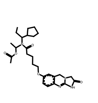 CCC(C1CCCC1)N(C(=O)CCCCOc1ccc2c(c1)CN1CC(=O)NC1=N2)C(C)OC(C)=O